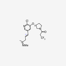 CN[C@@H](C)C/C=C/c1cnc(Cl)c(O[C@@H]2CCN(C(=O)CC(F)(F)F)C2)c1